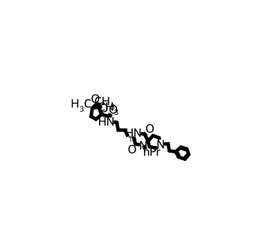 CCCN1C(=O)[C@H](CCCCNC(=O)C23CCC(C)(C(=O)O2)C3(C)C)NC(=O)C12CCN(CCc1ccccc1)CC2